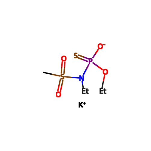 CCOP([O-])(=S)N(CC)S(C)(=O)=O.[K+]